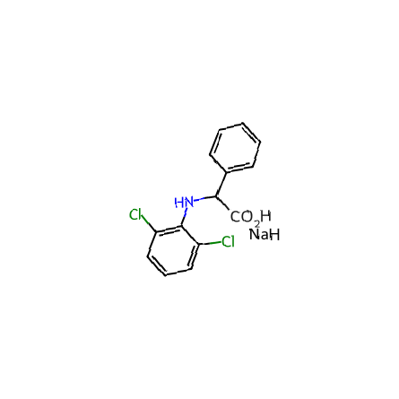 O=C(O)C(Nc1c(Cl)cccc1Cl)c1ccccc1.[NaH]